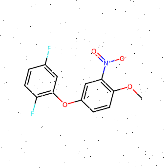 COc1ccc(Oc2cc(F)ccc2F)cc1[N+](=O)[O-]